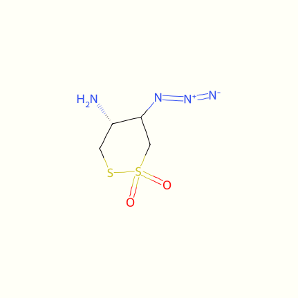 [N-]=[N+]=NC1CS(=O)(=O)SC[C@@H]1N